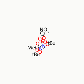 COC(=O)C1[C@H](COC(=O)Oc2ccc([N+](=O)[O-])cc2)N(C(=O)OC(C)(C)C)CCN1C(=O)OC(C)(C)C